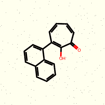 O=c1ccccc(-c2cccc3ccccc23)c1O